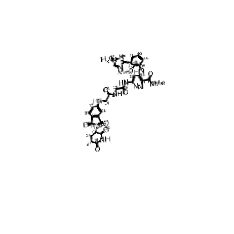 CNC(=O)c1nnc(NC(=O)CNC(=O)CNc2ccc3c(c2)C(=O)N(C2CCC(=O)NC2=O)C3=O)cc1Nc1cccc(-c2ncn(C)n2)c1OC